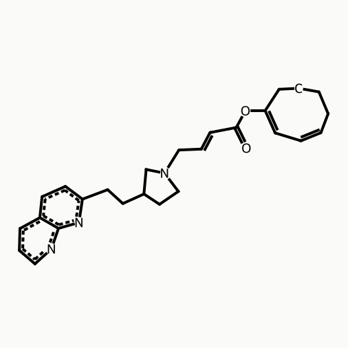 O=C(C=CCN1CCC(CCc2ccc3cccnc3n2)C1)OC1=CC=CCCCC1